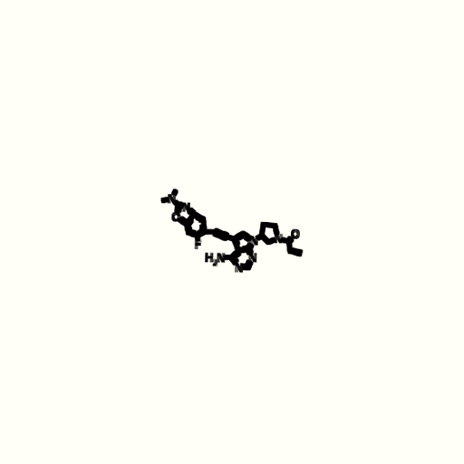 C=CC(=O)N1CCC(n2cc(C#Cc3cc4nc(N(C)C)oc4cc3F)c3c(N)ncnc32)C1